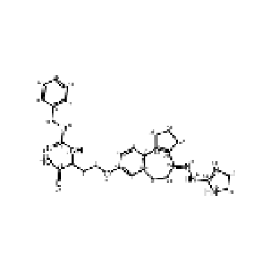 O=C(NC(CCOc1ccc2c(c1)CCC(=NNC1=NCCN1)C1=C2CCC1)C(=O)O)OCc1ccccc1